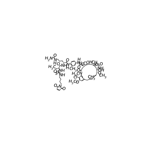 COc1cc2cc(c1Cl)N(C)C(=O)C[C@H](OC(=O)Nc1ccc(NC(=O)[C@H](CCCNC(N)=O)NC(=O)[C@@H](NC(=S)NCCCCN3C(=O)C=CC3=O)C(C)C)c(C)c1)[C@]1(C)O[C@H]1[C@H](C)[C@@H]1C[C@@](O)(NC(=O)O1)[C@H](OC)/C=C/C=C(\C)C2